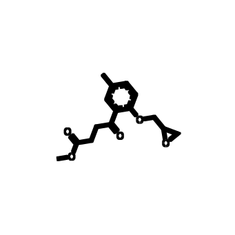 COC(=O)CCC(=O)c1cc(C)ccc1OCC1CO1